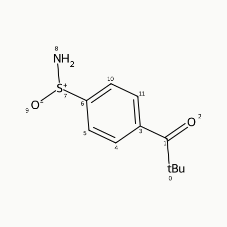 CC(C)(C)C(=O)c1ccc([S+](N)[O-])cc1